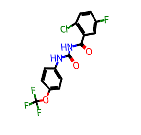 O=C(NC(=O)c1cc(F)ccc1Cl)Nc1ccc(OC(F)(F)F)cc1